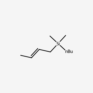 CC=CC[Si](C)(C)CCCC